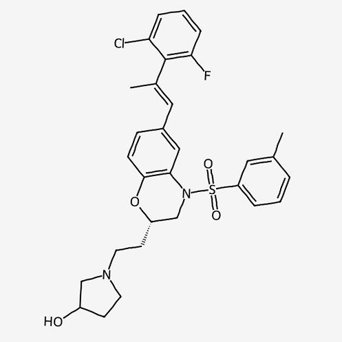 C/C(=C\c1ccc2c(c1)N(S(=O)(=O)c1cccc(C)c1)C[C@H](CCN1CCC(O)C1)O2)c1c(F)cccc1Cl